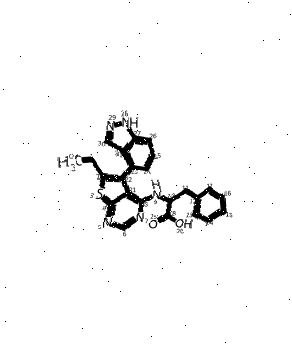 CCc1sc2ncnc(NC(Cc3ccccc3)C(=O)O)c2c1-c1cccc2[nH]ncc12